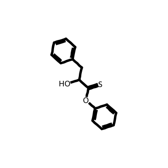 OC(Cc1ccccc1)C(=S)Oc1ccccc1